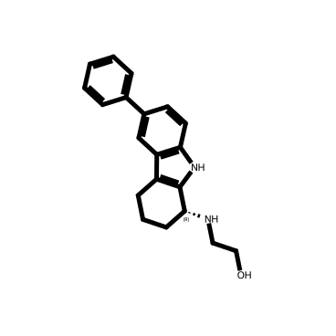 OCCN[C@@H]1CCCc2c1[nH]c1ccc(-c3ccccc3)cc21